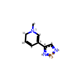 CN1C=C(c2cnsn2)C=CC1